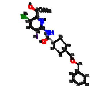 COC(=O)c1nc(NC(=O)[C@H]2CC[C@H](COCc3ccccc3)CC2)c(I)cc1Br